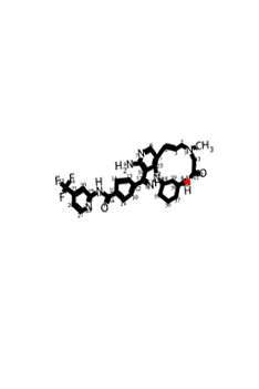 CN1C/C=C/c2cnc(N)c3c(-c4ccc(C(=O)Nc5cc(C(F)(F)F)ccn5)cc4)nn(c23)[C@@H]2CCC[C@H](C2)NC(=O)C1